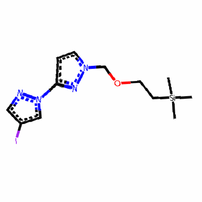 C[Si](C)(C)CCOCn1ccc(-n2cc(I)cn2)n1